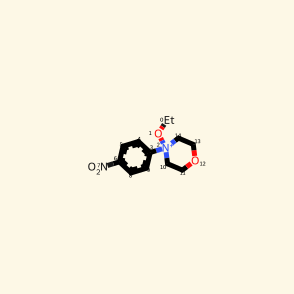 CCO[N+]1(c2ccc([N+](=O)[O-])cc2)CCOCC1